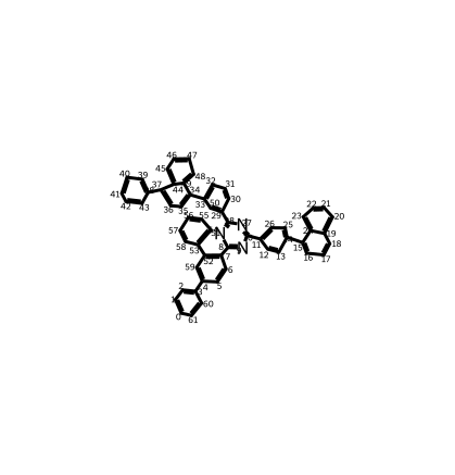 c1ccc(-c2ccc(-c3nc(-c4ccc(-c5cccc6ccccc56)cc4)nc(-c4cccc(-c5ccc(-c6ccccc6)c6ccccc56)c4)n3)c(-c3ccccc3)c2)cc1